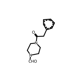 O=CN1CCN(C(=O)Cc2ccccc2)CC1